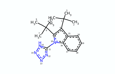 CC(C)(C)c1c(C(C)(C)C)n(-c2nnn[nH]2)c2ccccc12